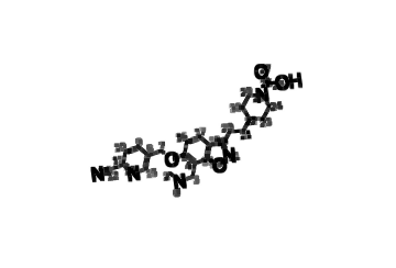 CN(C)Cc1c(OCc2ccc(C#N)nc2)ccc2c(CCC3CCN(C(=O)O)CC3)noc12